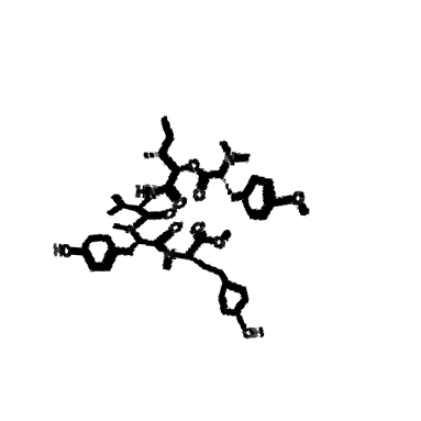 CC[C@@H](C)[C@@H](OC(=O)[C@@H](Cc1ccc(OC)cc1)N(C)C)C(=O)N[C@@H](C(=O)N(C)[C@H](Cc1ccc(O)cc1)C(=O)N(C)[C@H](CCc1ccc(O)cc1)C(=O)OC)C(C)C